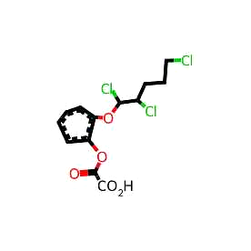 O=C(O)C(=O)Oc1ccccc1OC(Cl)C(Cl)CCCCl